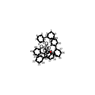 c1ccc(-c2ccccc2[O][Zr]([O]c2ccccc2-c2ccccc2)([O]c2ccccc2-c2ccccc2)[O]c2ccccc2-c2ccccc2)cc1